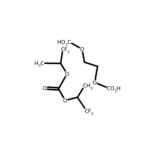 CC(OC(=O)OC(C)C(F)(F)F)C(F)(F)F.O=C(O)OCCOC(=O)O